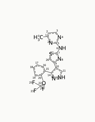 Cc1ccnc(Nc2nc(-c3c[nH]nc3-c3ccccc3OC(F)(F)F)cs2)n1